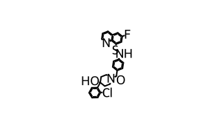 O=C(c1ccc(NSc2cc(F)cc3cccnc23)cc1)N1CCC(O)(c2ccccc2Cl)CC1